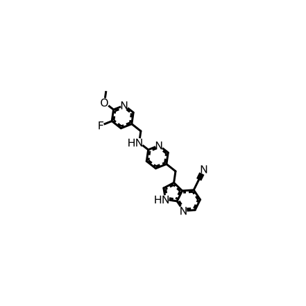 COc1ncc(CNc2ccc(Cc3c[nH]c4nccc(C#N)c34)cn2)cc1F